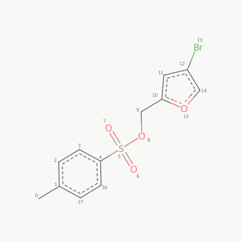 Cc1ccc(S(=O)(=O)OCc2cc(Br)co2)cc1